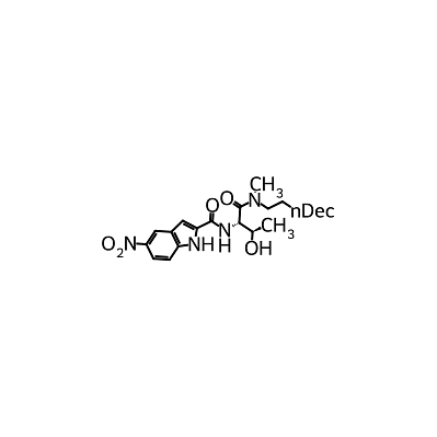 CCCCCCCCCCCCN(C)C(=O)[C@@H](NC(=O)c1cc2cc([N+](=O)[O-])ccc2[nH]1)[C@@H](C)O